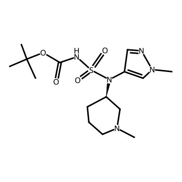 CN1CCC[C@@H](N(c2cnn(C)c2)S(=O)(=O)NC(=O)OC(C)(C)C)C1